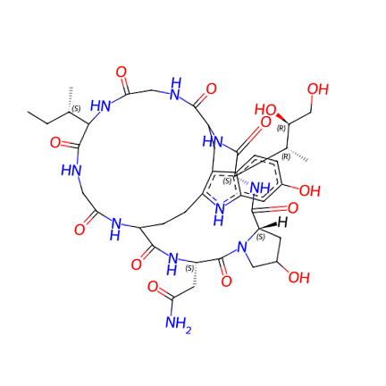 CC[C@H](C)C1NC(=O)CNC(=O)C2Cc3c([nH]c4cc(O)ccc34)CCC(NC(=O)CNC1=O)C(=O)N[C@@H](CC(N)=O)C(=O)N1CC(O)C[C@H]1C(=O)N[C@@H]([C@@H](C)[C@@H](O)CO)C(=O)N2